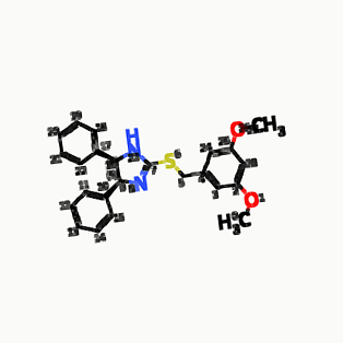 COc1cc(CSC2=N[C@@H](c3ccccc3)[C@@H](c3ccccc3)N2)cc(OC)c1